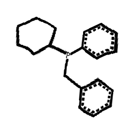 c1ccc(CP(c2ccccc2)C2CCCCC2)cc1